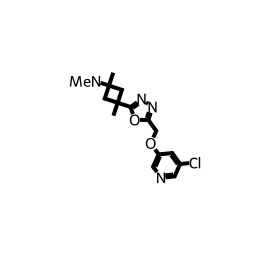 CNC1(C)CC(C)(c2nnc(COc3cncc(Cl)c3)o2)C1